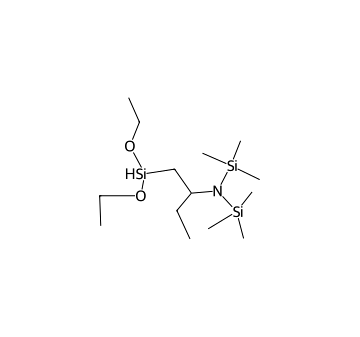 CCO[SiH](CC(CC)N([Si](C)(C)C)[Si](C)(C)C)OCC